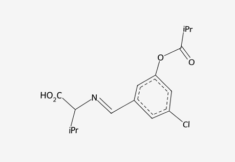 CC(C)C(=O)Oc1cc(Cl)cc(C=NC(C(=O)O)C(C)C)c1